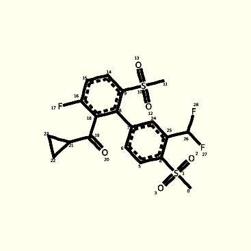 CS(=O)(=O)c1ccc(-c2c(S(C)(=O)=O)ccc(F)c2C(=O)C2CC2)cc1C(F)F